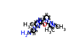 CCn1nc(C(=O)N2CCCC[C@H]2c2cc3nc(N4CC[C@H](N)C4)c(C)cn3n2)cc1C